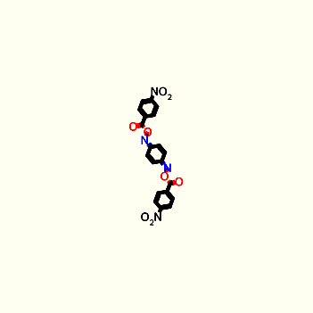 O=C(ON=C1C=CC(=NOC(=O)c2ccc([N+](=O)[O-])cc2)C=C1)c1ccc([N+](=O)[O-])cc1